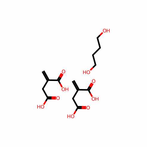 C=C(CC(=O)O)C(=O)O.C=C(CC(=O)O)C(=O)O.OCCCCO